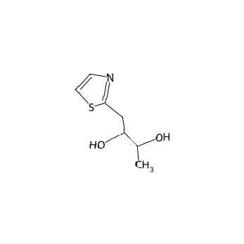 CC(O)C(O)Cc1nccs1